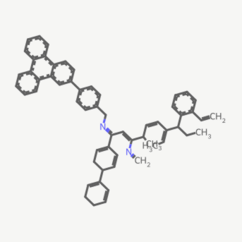 C=Cc1ccccc1C(CC)C(/C=C\C(C)/C(=C/C(=N\Cc1ccc(-c2ccc3c4ccccc4c4ccccc4c3c2)cc1)C1=CCC(C2=CCCC=C2)C=C1)N=C)=C/C